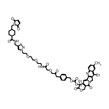 CCc1c2c(nc3ccc(C)cc13)-c1cc3c(c(=O)n1C2)COC(=O)[C@@]3(CC)OC(=O)OCc1ccc(CC(=O)COCC(=O)NCCOCCOCCn2cc(CNC(=O)C3CCC(CN4C(=O)C=CC4=O)CC3)nn2)cc1